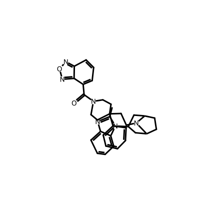 Cc1nc2ccccc2n1C1CC2CCC(C1)N2CCC1(c2ccccc2)CCN(C(=O)c2cccc3nonc23)CC1